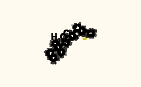 CC1(C)c2cc(-c3cccc4cc5c(cc34)sc3ccccc35)ccc2-c2ccc(-c3c4ccccc4c(-c4cccc5ccccc45)c4ccccc34)cc21